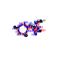 CCC(C)C1NC(=O)C(Cc2ccccc2)NC(=O)CNC(=O)CC(C(=O)NC(C(=O)NC(Cc2ccccc2)C(=O)NCC(=O)NC(Cc2ncc[nH]2)C(=O)NC(Cc2ccc(O)cc2)C(=O)NC(CO)C(=O)NCC(=O)NC(CC(=O)O)C(=O)NC(Cc2ccccc2)C(=O)O)C(C)CC)NC(=O)C(CC(N)=O)NC(=O)CNC(=O)C(Cc2c[nH]c3ccccc23)NC(=O)CNC1=O